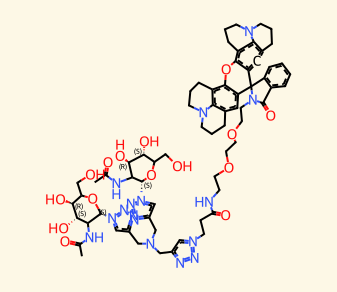 CC(=O)NC1[C@@H](O)[C@H](O)C(CO)O[C@@H]1n1cc(CN(Cc2cn(CCC(=O)NCCOCCOCCN3C(=O)c4ccccc4C34c3cc5c6c(c3Oc3c4cc4c7c3CCCN7CCC4)CCCN6CCC5)nn2)Cc2cn([C@H]3OC(CO)[C@H](O)[C@@H](O)C3NC(C)=O)nn2)nn1